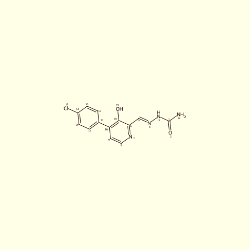 NC(=O)NN=Cc1nccc(-c2ccc(Cl)cc2)c1O